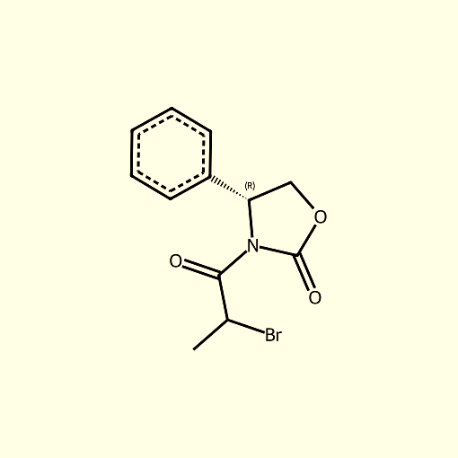 CC(Br)C(=O)N1C(=O)OC[C@H]1c1ccccc1